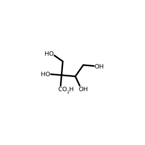 O=C(O)C(O)(CO)C(O)CO